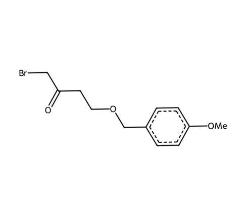 COc1ccc(COCCC(=O)CBr)cc1